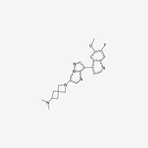 COc1cc2c(-c3cnn4cc(N5CC6(CC(N(C)C)C6)C5)cnc34)ccnc2cc1F